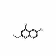 CCc1ccc2nc(CF)cc(Cl)c2c1